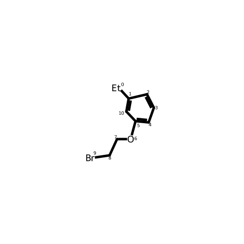 CCc1cccc(OCCBr)c1